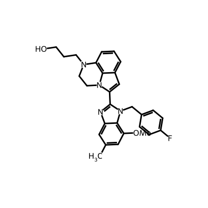 COc1cc(C)cc2nc(-c3cc4cccc5c4n3CCN5CCCO)n(Cc3ccc(F)cc3)c12